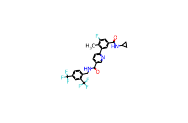 Cc1c(F)cc(C(=O)NC2CC2)cc1-c1ccc(C(=O)NCc2ccc(C(F)(F)F)cc2C(F)(F)F)cn1